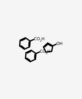 O=C(O)c1ccccc1.O=C(O)c1ccccc1.OC1=C=CCC1